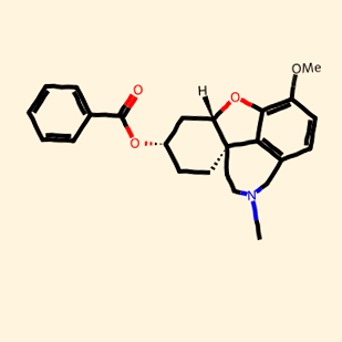 COc1ccc2c3c1O[C@H]1C[C@@H](OC(=O)c4ccccc4)CC[C@@]31CCN(C)C2